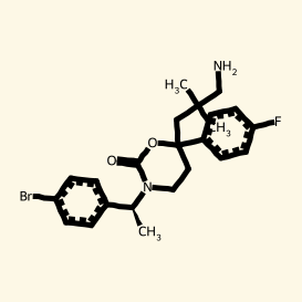 C[C@@H](c1ccc(Br)cc1)N1CCC(CC(C)(C)CN)(c2ccc(F)cc2)OC1=O